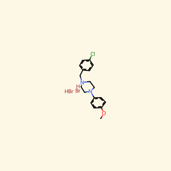 Br.Br.COc1ccc(N2CCN(Cc3ccc(Cl)cc3)CC2)cc1